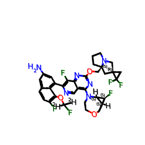 [2H]C([2H])(F)Oc1c(F)ccc2cc(N)cc(-c3ncc4c(N5CCOC[C@H]6[C@H](F)[C@H]65)nc(OC[C@@]56CCCN5C[C@]5(CC5(F)F)C6)nc4c3F)c12